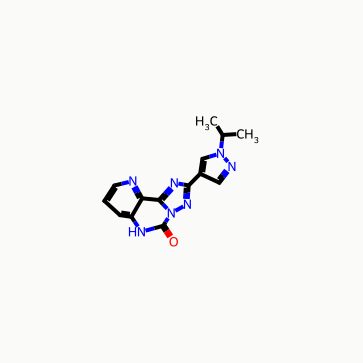 CC(C)n1cc(-c2nc3c4ncccc4[nH]c(=O)n3n2)cn1